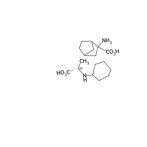 C[C@H](NC1CCCCC1)C(=O)O.NC1(C(=O)O)CC2CCC1C2